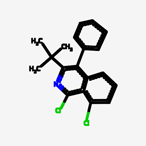 CC(C)(C)c1nc(Cl)c2c(Cl)cccc2c1-c1ccccc1